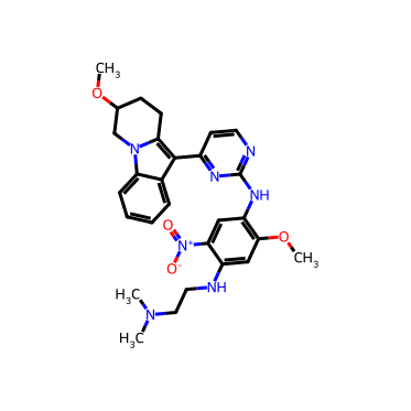 COc1cc(NCCN(C)C)c([N+](=O)[O-])cc1Nc1nccc(-c2c3n(c4ccccc24)CC(OC)CC3)n1